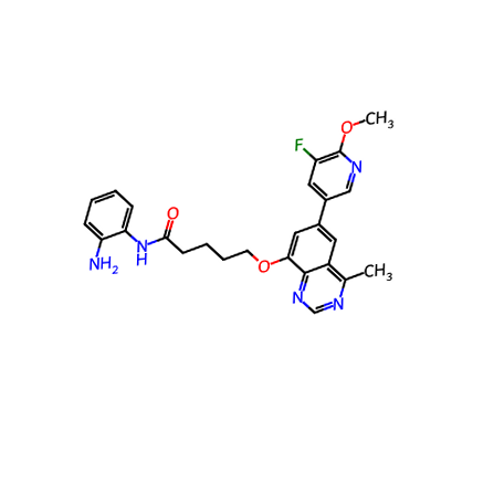 COc1ncc(-c2cc(OCCCCC(=O)Nc3ccccc3N)c3ncnc(C)c3c2)cc1F